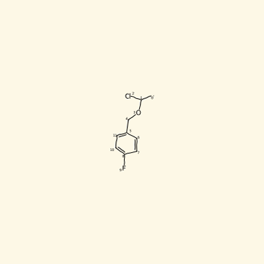 [CH2]C(Cl)OCc1ccc(F)cc1